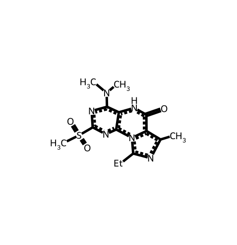 CCc1nc(C)c2c(=O)[nH]c3c(N(C)C)nc(S(C)(=O)=O)nc3n12